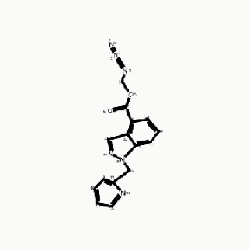 [N-]=[N+]=NCOC(=O)c1cccc2c1cnn2Cc1ccccn1